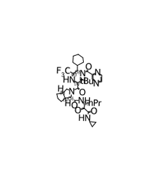 CCC[C@H](NC(=O)[C@@H]1[C@H]2CCC[C@H]2CN1C(=O)[C@@H](N[C@H]([C@@H](NC(=O)c1cnccn1)C1CCCCC1)C(F)(F)F)C(C)(C)C)C(=O)C(=O)NC1CC1